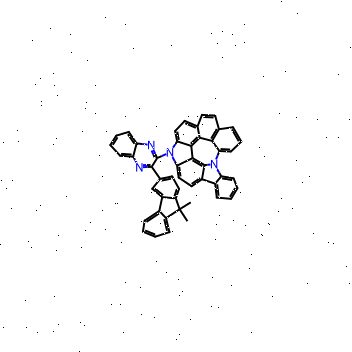 CC1(C)c2ccccc2-c2cc(-c3nc4ccccc4nc3-n3c4ccc5ccc6cccc7c6c5c4c4c3ccc3c5ccccc5n7c34)ccc21